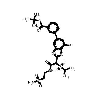 CC(C)S(=O)(=O)C(C(=O)NCCS(N)(=O)=O)c1nc2c(F)cc(-c3cccc(C(=O)OC(C)(C)C)c3)cc2s1